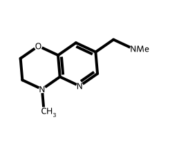 CNCc1cnc2c(c1)OCCN2C